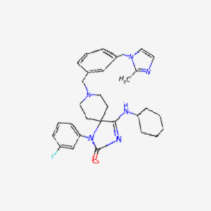 Cc1nccn1-c1cccc(CN2CCC3(CC2)C(NC2CCCCC2)=NC(=O)N3c2cccc(F)c2)c1